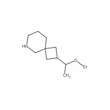 CCOC(C)N1CC2(CCCNC2)C1